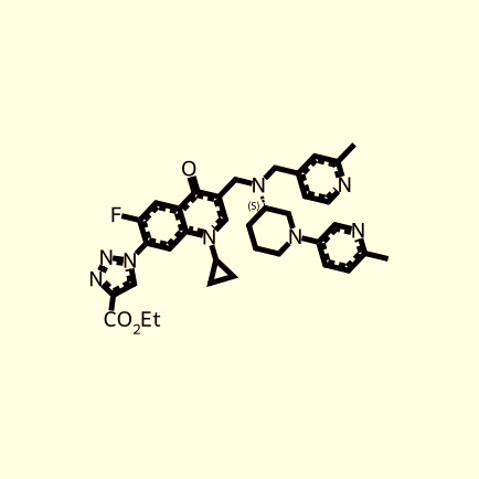 CCOC(=O)c1cn(-c2cc3c(cc2F)c(=O)c(CN(Cc2ccnc(C)c2)[C@H]2CCCN(c4ccc(C)nc4)C2)cn3C2CC2)nn1